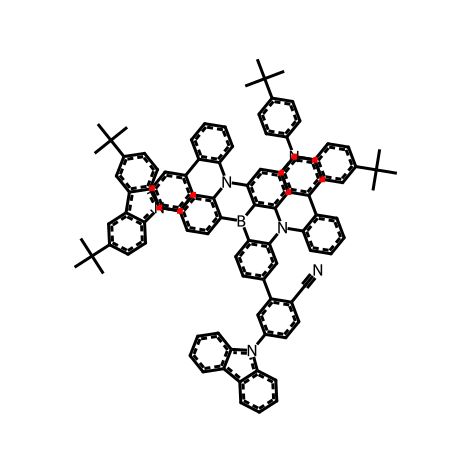 CC(C)(C)c1ccc(N(c2ccc(C(C)(C)C)cc2)c2cc3c4c(c2)N(c2ccccc2-c2ccccc2)c2cc(-n5c6ccc(C(C)(C)C)cc6c6cc(C(C)(C)C)ccc65)ccc2B4c2ccc(-c4cc(-n5c6ccccc6c6ccccc65)ccc4C#N)cc2N3c2ccccc2-c2ccccc2)cc1